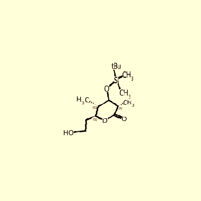 C[C@@H]1C(=O)O[C@@H](CCO)[C@H](C)C1O[Si](C)(C)C(C)(C)C